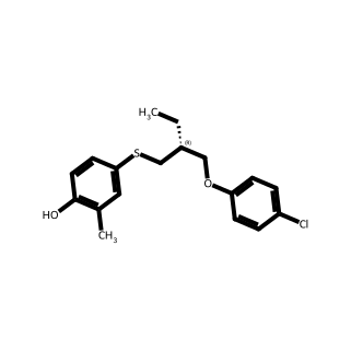 CC[C@H](COc1ccc(Cl)cc1)CSc1ccc(O)c(C)c1